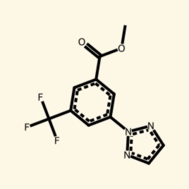 COC(=O)c1cc(-n2nccn2)cc(C(F)(F)F)c1